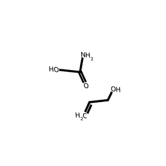 C=CCO.NC(=O)O